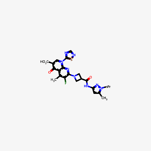 CCCn1nc(NC(=O)C2CN(c3nc4c(c(C)c3F)c(=O)c(C(=O)O)cn4-c3ncns3)C2)cc1C